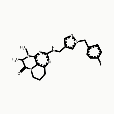 CC1C(=O)N2CCCc3nc(NCc4cnn(Cc5ccc(F)cc5)c4)nc(c32)N1C